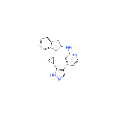 c1ccc2c(c1)CC(Nc1cc(-c3cn[nH]c3C3CC3)ccn1)C2